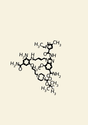 CCn1nc(C)cc1C(=O)Nc1nc2cc(C(N)=O)cc(OC)c2n1CC=CCNc1c(N)cc(C(N)=O)cc1OCCCN1CCN(C(=O)OC(C)(C)C)CC1